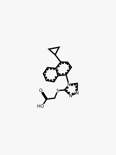 O=C(O)CSc1nncn1-c1ccc(C2CC2)c2ccccc12